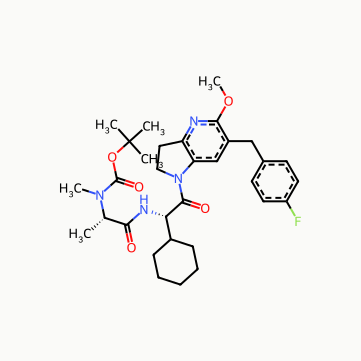 COc1nc2c(cc1Cc1ccc(F)cc1)N(C(=O)[C@@H](NC(=O)[C@H](C)N(C)C(=O)OC(C)(C)C)C1CCCCC1)CC2